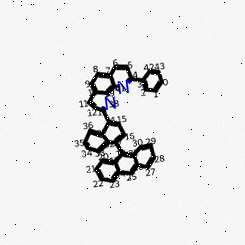 c1ccc(-c2ccc3ccc4ccc(-c5ccc(-c6c7ccccc7cc7ccccc67)c6ccccc56)nc4c3n2)cc1